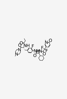 CCC(=O)N[C@H](Cc1ccc(NC(=O)[C@@H](NC(=O)C(F)(F)c2ccc(=O)n(C)c2)C2CCCCC2)c(F)c1)C(=O)N1CCN(C)CC1